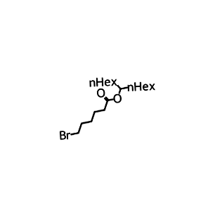 CCCCCCC(CCCCCC)OC(=O)CCCCCBr